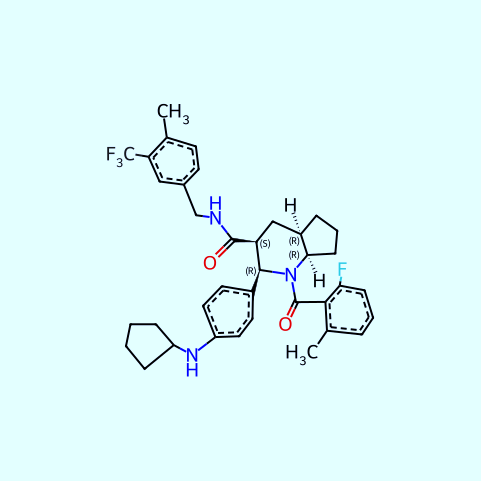 Cc1ccc(CNC(=O)[C@H]2C[C@H]3CCC[C@H]3N(C(=O)c3c(C)cccc3F)[C@H]2c2ccc(NC3CCCC3)cc2)cc1C(F)(F)F